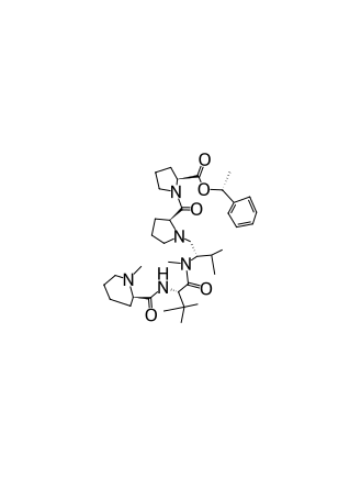 CC(C)[C@@H](CN1CCC[C@H]1C(=O)N1CCC[C@H]1C(=O)O[C@H](C)c1ccccc1)N(C)C(=O)[C@@H](NC(=O)[C@H]1CCCCN1C)C(C)(C)C